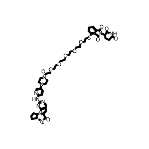 CN(C)C(=O)c1cc2cnc(Nc3ccc(N4CCN(C(=O)COCCOCCOCCOCCOCCSc5cccc6c5C(=O)N(C5CCC(=O)NC5=O)C6=O)CC4)cn3)nc2n1C1CCCC1